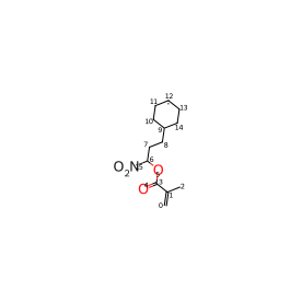 C=C(C)C(=O)OC(CCC1CC[CH]CC1)[N+](=O)[O-]